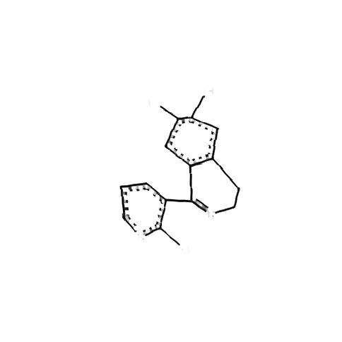 Oc1cc2c(cc1O)C(c1cccnc1Cl)=NCC2